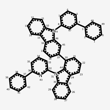 c1ccc(-c2cccc(-n3c4ccccc4c4ccc(-c5cccc6c7ccccc7n(-c7cccc(-c8ccccc8)n7)c56)cc43)c2)cc1